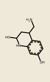 NCC1CC(O)Nc2cc(O)ccc21